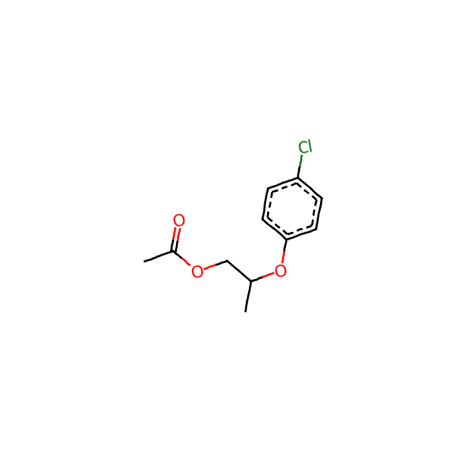 CC(=O)OCC(C)Oc1ccc(Cl)cc1